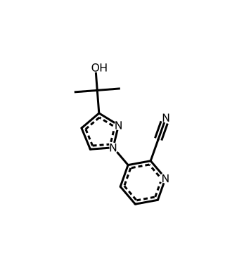 CC(C)(O)c1ccn(-c2cccnc2C#N)n1